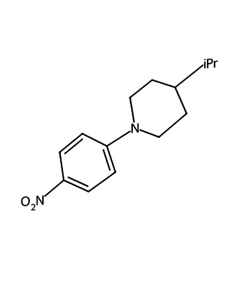 CC(C)C1CCN(c2ccc([N+](=O)[O-])cc2)CC1